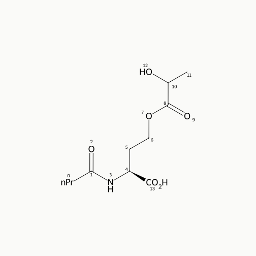 CCCC(=O)N[C@@H](CCOC(=O)C(C)O)C(=O)O